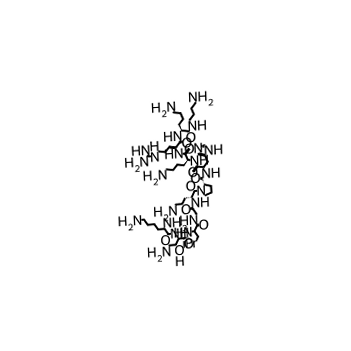 CC(C)CC(NC(=O)[C@@H](NC(=O)C(N)CCCCN)[C@@H](O)CN)C(=O)NCC(=O)N[C@H](CCCN)C(=O)N1CCC[C@H]1C(=O)NC(Cc1cnc[nH]1)C(=O)N[C@@H](CCCCN)C(=O)N/C(=C\CCNC(=N)N)C(=O)N[C@@H](CCCCN)C(=O)NCCCCN